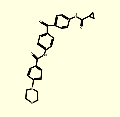 O=C(Nc1ccc(C(=O)c2ccc(NC(=O)C3CC3)cc2)cc1)c1ccc(N2CCOCC2)cc1